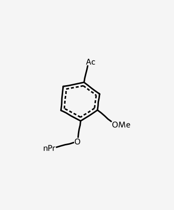 [CH2]CCOc1ccc(C(C)=O)cc1OC